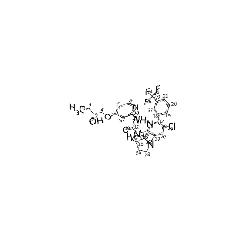 CC[C@@H](O)COc1ccnc(NC(=O)N2c3nc(-c4cccc(C(F)(F)F)c4)c(Cl)cc3N3CC[C@H]2C3)c1